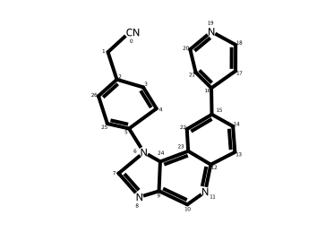 N#CCc1ccc(-n2cnc3cnc4ccc(-c5ccncc5)cc4c32)cc1